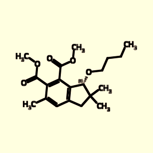 CCCCO[C@H]1c2c(cc(C)c(C(=O)OC)c2C(=O)OC)CC1(C)C